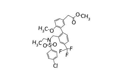 CCN(Cc1cc(C(F)(F)F)ccc1-c1cc(CC(=O)OC)ccc1OC)S(=O)(=O)c1ccc(Cl)cc1